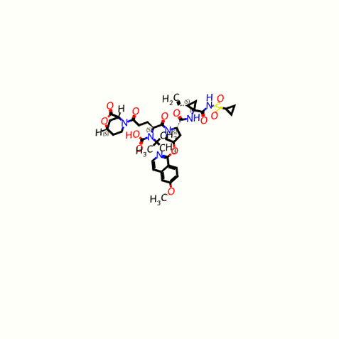 C=C[C@@H]1C[C@]1(NC(=O)[C@@H]1CC(Oc2nccc3cc(OC)ccc23)CN1C(=O)[C@H](CCC(=O)N1CC[C@H]2C[C@@H]1C(=O)O2)N(C(=O)O)C(C)(C)C)C(=O)NS(=O)(=O)C1CC1